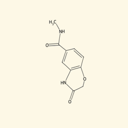 CNC(=O)c1ccc2c(c1)NC(=O)CO2